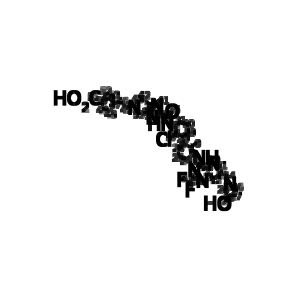 Cc1c(Nc2nc(C(F)F)nc3cc(CN4CCC(O)C4)cnc23)cccc1-c1cccc(NC(=O)c2nc3c(n2C)CCN(CCC24CCC(C(=O)O)(CC2)C4)C3)c1Cl